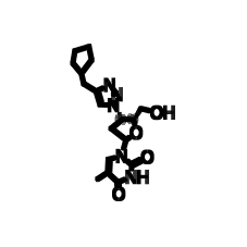 Cc1cn(C2C[C@H](n3cc(CC4CCCC4)nn3)[C@@H](CO)O2)c(=O)[nH]c1=O